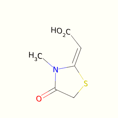 CN1C(=O)CS/C1=C/C(=O)O